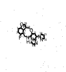 Fc1ccc2c3c1CNc1c(cc(-n4cccn4)c4nncn14)OC[C@@H]3CO2